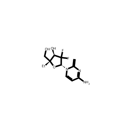 C=C1N=C(N)C=CN1[C@@H]1O[C@](CC)(CO)[C@@H](O)C1(F)F